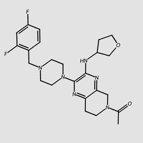 CC(=O)N1CCc2nc(N3CCN(Cc4ccc(F)cc4F)CC3)c(NC3CCOC3)nc2C1